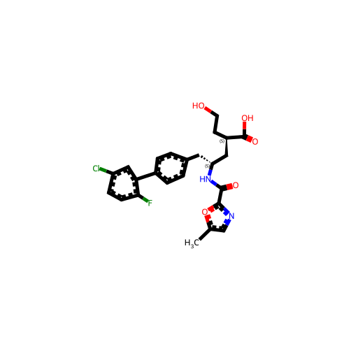 Cc1cnc(C(=O)N[C@H](Cc2ccc(-c3cc(Cl)ccc3F)cc2)C[C@@H](CCO)C(=O)O)o1